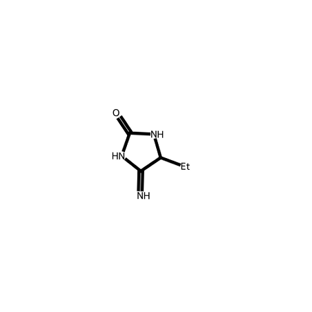 CCC1NC(=O)NC1=N